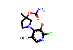 CC1(OC(N)=O)CCN(c2c(C=O)cnc(Cl)c2Br)C1